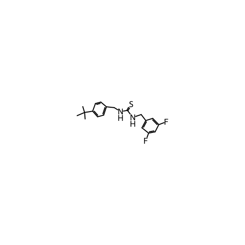 CC(C)(C)c1ccc(CNC(=S)NCc2cc(F)cc(F)c2)cc1